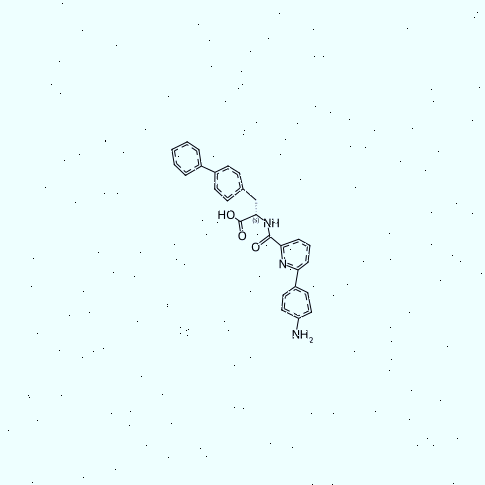 Nc1ccc(-c2cccc(C(=O)N[C@@H](Cc3ccc(-c4ccccc4)cc3)C(=O)O)n2)cc1